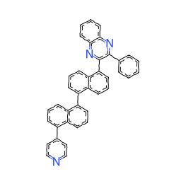 c1ccc(-c2nc3ccccc3nc2-c2cccc3c(-c4cccc5c(-c6ccncc6)cccc45)cccc23)cc1